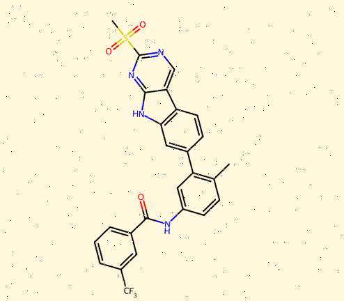 Cc1ccc(NC(=O)c2cccc(C(F)(F)F)c2)cc1-c1ccc2c(c1)[nH]c1nc(S(C)(=O)=O)ncc12